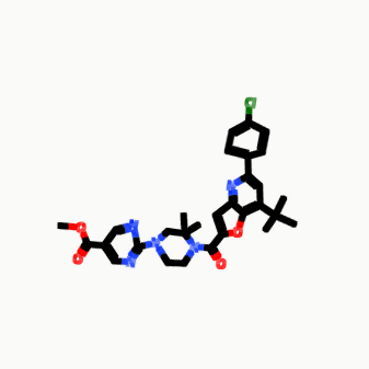 COC(=O)c1cnc(N2CCN(C(=O)c3cc4nc(-c5ccc(Cl)cc5)cc(C(C)(C)C)c4o3)C(C)(C)C2)nc1